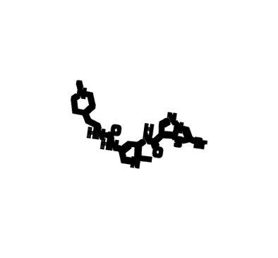 Cc1ncc(NC(=O)NCCC2CCN(C)CC2)cc1NC(=O)c1cnn2cc(Br)sc12